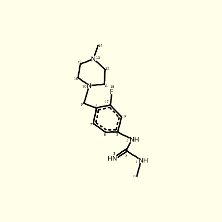 CNC(=N)Nc1ccc(CN2CCN(C)CC2)c(F)c1